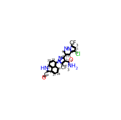 NC(=O)c1c(-c2cnn3c(C(F)(F)F)cc(Cl)c3c2)nn(-c2ccc3[nH]c(=C=O)c4cccc2c34)c1C(F)(F)F